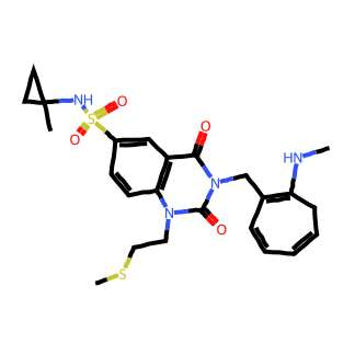 CNC1=C(Cn2c(=O)c3cc(S(=O)(=O)NC4(C)CC4)ccc3n(CCSC)c2=O)C=CC=CC1